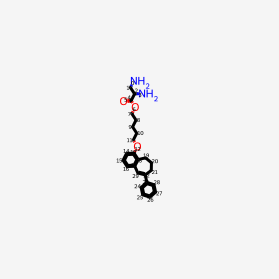 NCC(N)C(=O)OCCCCCOc1cccc2c1CCCC(c1ccccc1)=C2